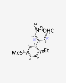 CCc1ccc(SC)cc1C(/C=C\C=O)=C/N(C)C